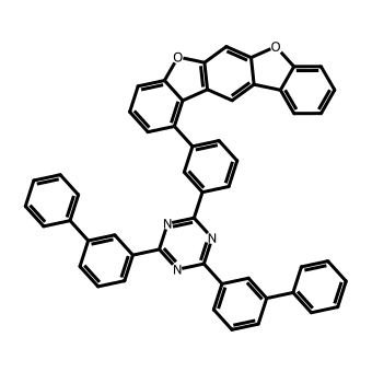 c1ccc(-c2cccc(-c3nc(-c4cccc(-c5ccccc5)c4)nc(-c4cccc(-c5cccc6oc7cc8oc9ccccc9c8cc7c56)c4)n3)c2)cc1